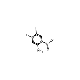 Nc1cc(F)c(I)cc1[N+](=O)[O-]